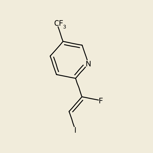 FC(=CI)c1ccc(C(F)(F)F)cn1